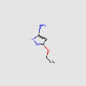 CCCCCOc1cc(N)[nH]n1